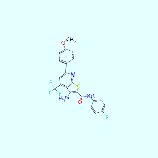 COc1ccc(-c2cc(C(F)(F)F)c3c(N)c(C(=O)Nc4ccc(F)cc4)sc3n2)cc1